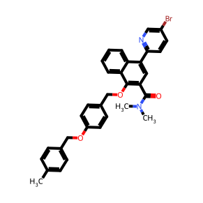 Cc1ccc(COc2ccc(COc3c(C(=O)N(C)C)cc(-c4ccc(Br)cn4)c4ccccc34)cc2)cc1